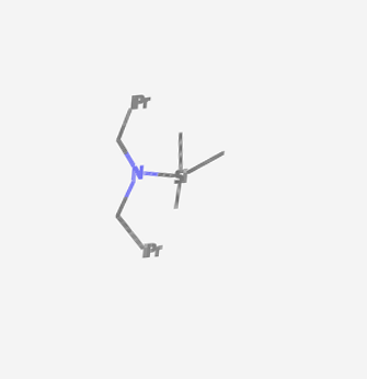 CC(C)CN(CC(C)C)[Si](C)(C)C